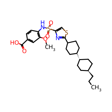 CCC[C@H]1CC[C@H](C2CCC(c3nc(S(=O)(=O)Nc4ccc(C(=O)O)cc4OC)cs3)CC2)CC1